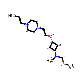 CCCN1CCN(CCO[C@H]2C[C@H](N(C)CSC)C2)CC1